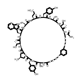 CCC[C@@H]1NC(=O)[C@H](Cc2c[nH]c3ncccc23)NC(=O)[C@H]([C@@H](C)O)NC(=O)[C@@H]2C[C@H](N)CN2C(=O)[C@H](Cc2ccc(O)cc2)NC(=O)[C@H](C(C)(C)C)NC(=O)CCSCc2cccc(c2)CSC[C@@H](C(N)=O)NC(=O)[C@H]([C@@H](C)O)NC(=O)[C@H](CCC)NC(=O)[C@H](Cc2ccc(O)cc2)NC(=O)[C@H](CCC(=O)O)NC1=O